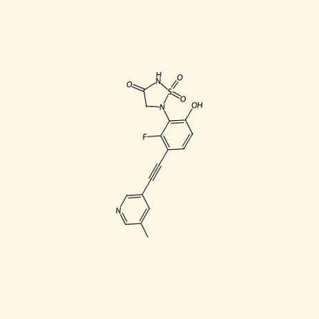 Cc1cncc(C#Cc2ccc(O)c(N3CC(=O)NS3(=O)=O)c2F)c1